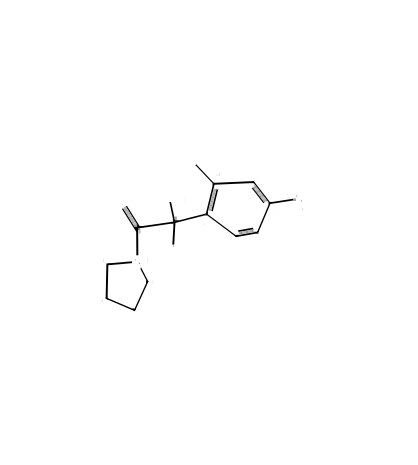 CC(C)(C(=O)N1CCCC1)c1ccc(N)cc1F